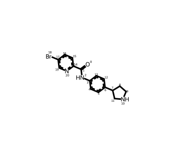 O=C(Nc1ccc(C2CCNC2)cc1)c1ccc(Br)cn1